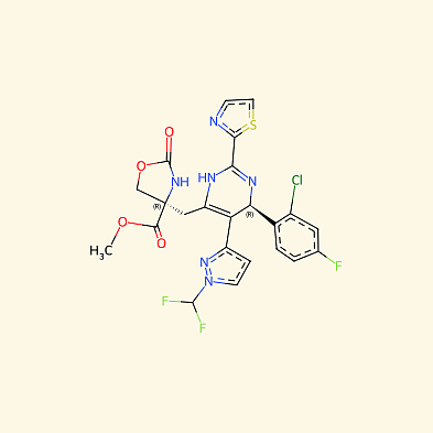 COC(=O)[C@@]1(CC2=C(c3ccn(C(F)F)n3)[C@H](c3ccc(F)cc3Cl)N=C(c3nccs3)N2)COC(=O)N1